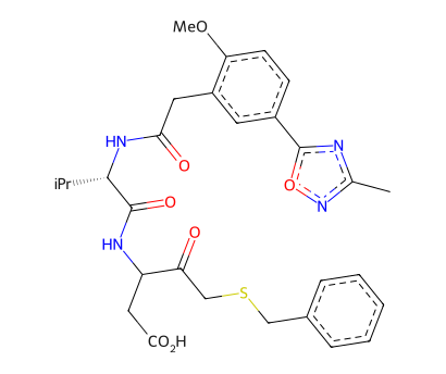 COc1ccc(-c2nc(C)no2)cc1CC(=O)N[C@H](C(=O)NC(CC(=O)O)C(=O)CSCc1ccccc1)C(C)C